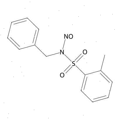 Cc1ccccc1S(=O)(=O)N(Cc1ccccc1)N=O